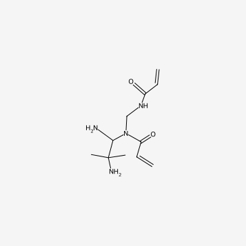 C=CC(=O)NCN(C(=O)C=C)C(N)C(C)(C)N